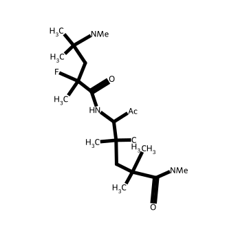 CNC(=O)C(C)(C)CC(C)(C)C(NC(=O)C(C)(F)CC(C)(C)NC)C(C)=O